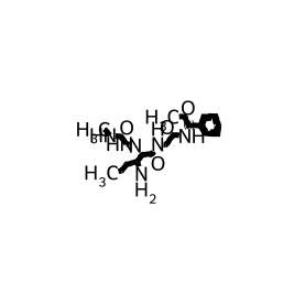 CCCC(N)C(=NNC(=O)NC)C(=O)NCC(=O)N[C@H](C(C)=O)c1ccccc1